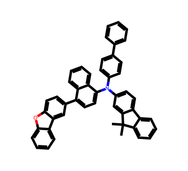 CC1(C)c2ccccc2-c2ccc(N(c3ccc(-c4ccccc4)cc3)c3ccc(-c4ccc5oc6ccccc6c5c4)c4ccccc34)cc21